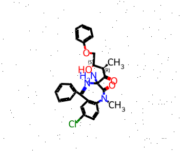 C[C@@H](C(=O)C1(N)N=C(c2ccccc2)c2cc(Cl)ccc2N(C)C1=O)[C@H](O)COc1ccccc1